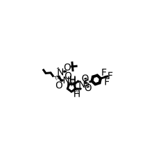 CCCC[C@@H](C(=O)N[C@H]1CC[C@@H]2CN(S(=O)(=O)c3ccc(C(F)(F)F)cc3)C[C@@H]21)N(C)C(=O)OC(C)(C)C